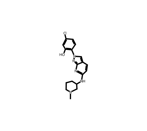 CN1CCCC(Nc2ccc3cn(-c4ccc(Cl)cc4O)nc3n2)C1